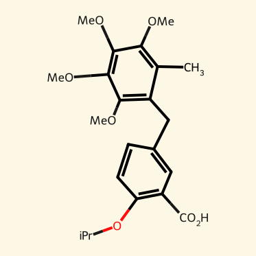 COc1c(C)c(Cc2ccc(OC(C)C)c(C(=O)O)c2)c(OC)c(OC)c1OC